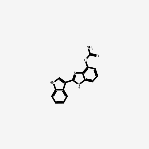 NC(=O)Oc1cccc2[nH]c(-c3c[nH]c4ccccc34)nc12